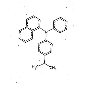 CC(C)c1ccc(N(c2ccccc2)c2cccc3ccccc23)cc1